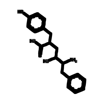 NC(Cc1ccccc1)C(O)CC(Cc1ccc(O)cc1)C(=O)O